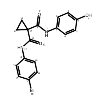 O=C(Nc1ccc(O)cc1)C1(C(=O)Nc2ccc(Br)cc2)CC1